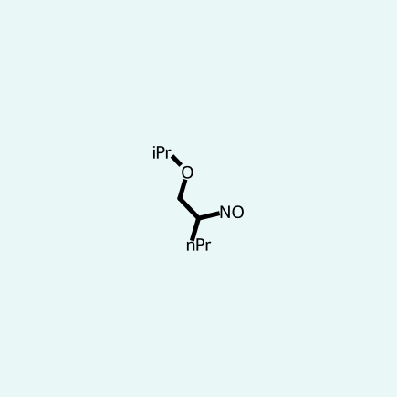 CCCC(COC(C)C)N=O